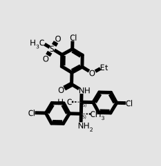 CCOc1cc(Cl)c(S(C)(=O)=O)cc1C(=O)N[C@@](C)(c1ccc(Cl)cc1)[C@@](C)(N)c1ccc(Cl)cc1